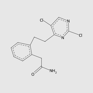 NC(=O)Cc1ccccc1CCc1nc(Cl)ncc1Cl